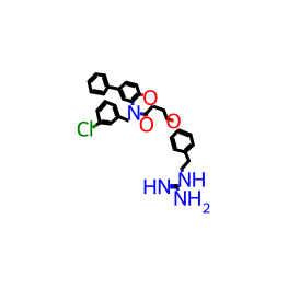 N=C(N)NCCc1ccc(OCCC2Oc3ccc(-c4ccccc4)cc3N(Cc3cccc(Cl)c3)C2=O)cc1